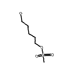 CS(=O)(=O)OCCCCC[O]